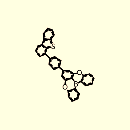 c1ccc2c(c1)Oc1cc(-c3ccc(-c4cccc5c4sc4ccccc45)cc3)cc3c1B2c1ccccc1O3